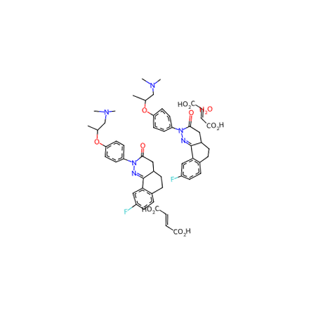 CC(CN(C)C)Oc1ccc(N2N=C3c4cc(F)ccc4CCC3CC2=O)cc1.CC(CN(C)C)Oc1ccc(N2N=C3c4cc(F)ccc4CCC3CC2=O)cc1.O.O=C(O)C=CC(=O)O.O=C(O)C=CC(=O)O